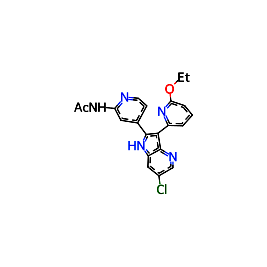 CCOc1cccc(-c2c(-c3ccnc(NC(C)=O)c3)[nH]c3cc(Cl)cnc23)n1